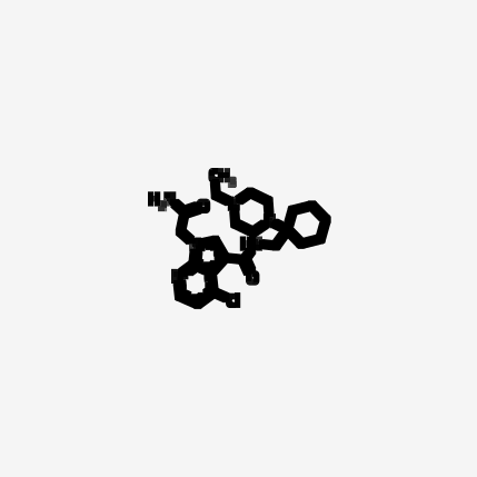 CCN1CCN(C2(CNC(=O)c3cn(CC(N)=O)c4nccc(Cl)c34)CCCCC2)CC1